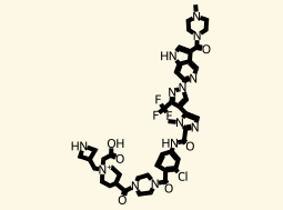 CN1CCN(C(=O)c2c[nH]c3cc(-n4cc(-c5cnc(C(=O)Nc6ccc(C(=O)N7CCN(C(=O)C8CC[N+](CC(=O)O)(CC9CNC9)CC8)CC7)c(Cl)c6)n5C)c(C(F)(F)F)n4)ncc23)CC1